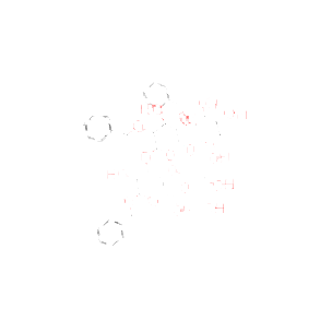 CC1O[C@@H](O[C@@H]2C(O)[C@H](OCc3ccccc3)OC(CO)[C@H]2O[C@@H]2O[C@@H](CO)[C@H](O)C(O)C2O[C@@H]2O[C@@H](C)[C@@H](O)C(O)C2OCc2ccccc2)C(OCc2ccccc2)[C@@H](O)[C@@H]1O